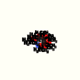 CCC1O[C@H](O[C@@H]2C(CC)O[C@H](O[C@@H]3C(CC)O[C@H](O[C@@H]4C(CC)O[C@H](O[C@@H]5C(CC)O[C@H](O[C@@H]6C(CC)O[C@H](N=[N+]=[N-])C(C)[C@H]6C)C(C)[C@H]5C)C(C)[C@H]4C)C(C)[C@H]3C)C(C)[C@H]2C)C(C)[C@@H](C)[C@@H]1C